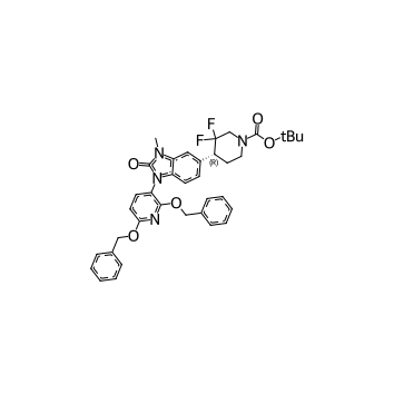 Cn1c(=O)n(-c2ccc(OCc3ccccc3)nc2OCc2ccccc2)c2ccc([C@H]3CCN(C(=O)OC(C)(C)C)CC3(F)F)cc21